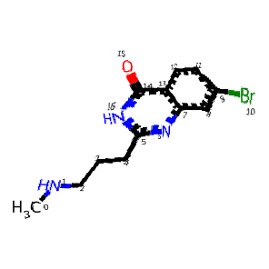 CNCCCc1nc2cc(Br)ccc2c(=O)[nH]1